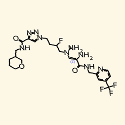 N/C(=C\N(N)CC(F)CCn1cc(C(=O)NCC2CCCOC2)nn1)C(=O)NCc1cc(C(F)(F)F)ccn1